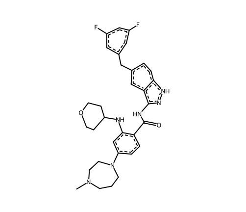 CN1CCCN(c2ccc(C(=O)Nc3n[nH]c4ccc(Cc5cc(F)cc(F)c5)cc34)c(NC3CCOCC3)c2)CC1